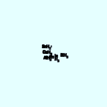 [AlH3].[BiH3].[GaH3].[InH3].[SnH2].[Zn]